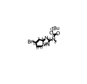 CN(C(=O)OC(C)(C)C)c1nc2cc(Br)ccn2n1